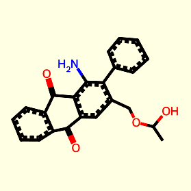 CC(O)OCc1cc2c(c(N)c1-c1ccccc1)C(=O)c1ccccc1C2=O